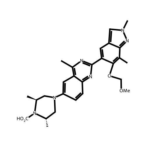 COCOc1c(-c2nc(C)c3cc(N4C[C@H](C)N(C(=O)O)[C@@H](C)C4)ccc3n2)cc2cn(C)nc2c1C